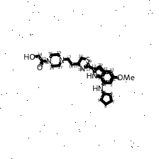 COc1cc(NC2CCCC2)c2[nH]c(C3=NC(CCN4CCN(C(=O)CO)CC4)CS3)cc2c1